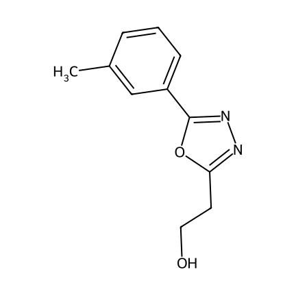 Cc1cccc(-c2nnc(CCO)o2)c1